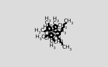 CCCCCCc1cc(CCCCCC)cc([Si](C2=C(C)C(C)=C(C)C2C)(c2cc(CC)cc(CC)c2)c2cc(C(C)(C)C)cc(C(C)(C)C)c2)c1